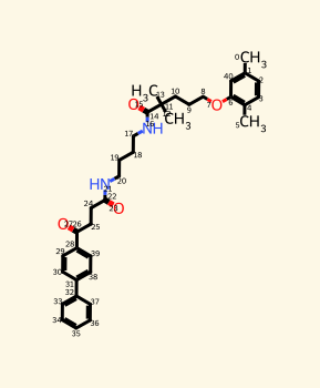 Cc1ccc(C)c(OCCCC(C)(C)C(=O)NCCCCNC(=O)CCC(=O)c2ccc(-c3ccccc3)cc2)c1